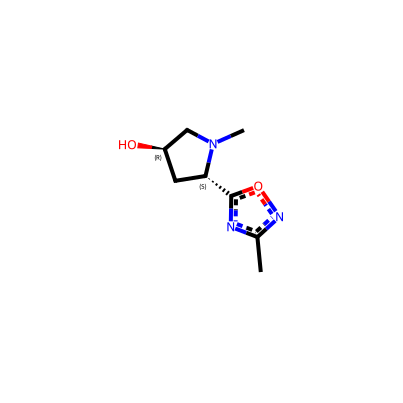 Cc1noc([C@@H]2C[C@@H](O)CN2C)n1